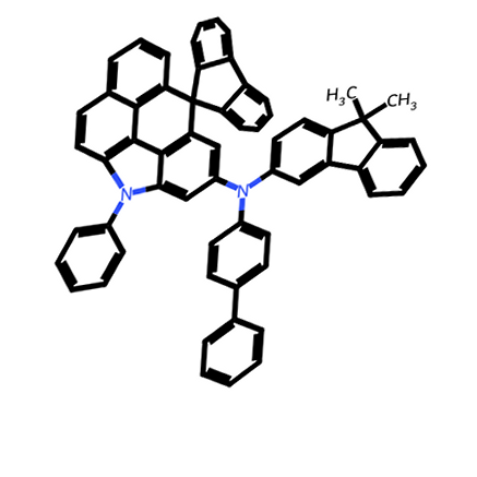 CC1(C)c2ccccc2-c2cc(N(c3ccc(-c4ccccc4)cc3)c3cc4c5c6c7c(cccc7ccc6n(-c6ccccc6)c5c3)C43c4ccccc4-c4ccccc43)ccc21